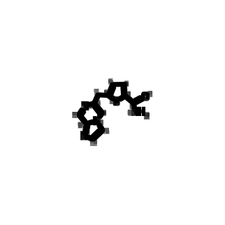 NC(=O)c1ccc(Cc2cn3ccnc3cn2)s1